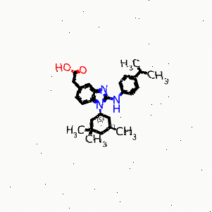 CC(C)c1ccc(Nc2nc3cc(CC(=O)O)ccc3n2[C@H]2C[C@@H](C)CC(C)(C)C2)cc1